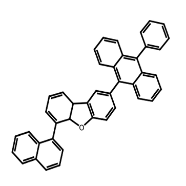 C1=CC2c3cc(-c4c5ccccc5c(-c5ccccc5)c5ccccc45)ccc3OC2C(c2cccc3ccccc23)=C1